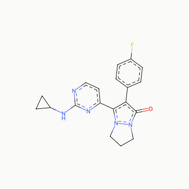 O=c1c(-c2ccc(F)cc2)c(-c2ccnc(NC3CC3)n2)n2n1CCC2